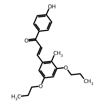 CCCOc1cc(C=CC(=O)c2ccc(O)cc2)c(C)c(OCCC)c1